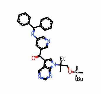 CCC(C)(CO[Si](C)(C)C(C)(C)C)n1cc(C(=O)c2cncc(N=C(c3ccccc3)c3ccccc3)c2)c2cncnc21